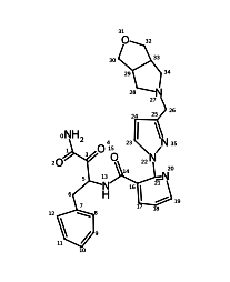 NC(=O)C(=O)C(Cc1ccccc1)NC(=O)c1cccnc1-n1ccc(CN2CC3COCC3C2)n1